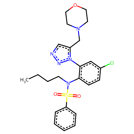 CCCCN(c1ccc(Cl)cc1-n1nncc1CN1CCOCC1)S(=O)(=O)c1ccccc1